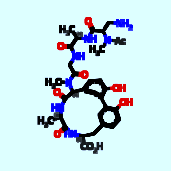 CC(=O)N(C)C(CN)C(=O)N[C@H](C)C(=O)NCC(=O)N(C)[C@@H]1C(=O)N[C@@H](C)C(=O)N[C@H](C(=O)O)Cc2ccc(O)c(c2)-c2cc1ccc2O